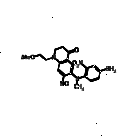 Bc1ccc(N(C)c2cc3c(cc2N=O)N(CCOC)CCC3=O)c([N+](=O)[O-])c1